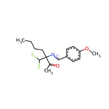 CCCCC(/N=C/c1ccc(OC)cc1)(C(C)=O)C(F)F